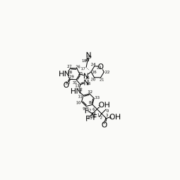 CC(C)(C(=O)O)C(O)(c1ccc(Nc2nn([C@]3(CC#N)CCCOC3)c3cc[nH]c(=O)c23)cc1)C(F)(F)F